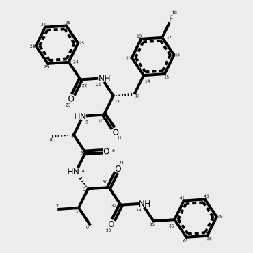 CC(C)[C@H](NC(=O)[C@H](C)NC(=O)[C@@H](Cc1ccc(F)cc1)NC(=O)c1ccccc1)C(=O)C(=O)NCc1ccccc1